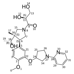 COc1ccc([C@@H]2CN(C(=O)[C@@H](O)CO)C[C@@]2(C)[C@@H](C)O)cc1OC1CCN(c2ccccn2)C1